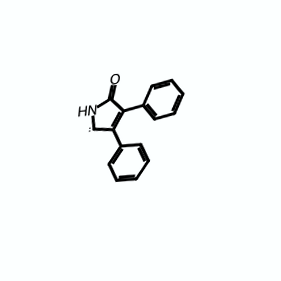 O=C1N[C]C(c2ccccc2)=C1c1ccccc1